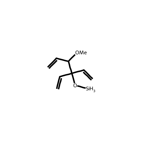 C=CC(OC)C(C=C)(C=C)O[SiH3]